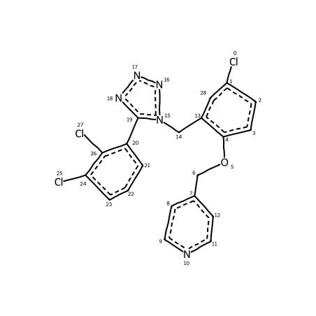 Clc1ccc(OCc2ccncc2)c(Cn2nnnc2-c2cccc(Cl)c2Cl)c1